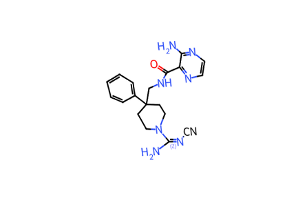 N#C/N=C(/N)N1CCC(CNC(=O)c2nccnc2N)(c2ccccc2)CC1